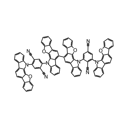 N#Cc1cc(-n2c3ccccc3c3ccc4c5ccccc5oc4c32)c(C#N)c(-n2c3ccccc3c3cc(-c4cc5c6ccccc6oc5c5c4c4ccccc4n5-c4cc(C#N)c(-n5c6ccccc6c6ccc7c8ccccc8oc7c65)cc4C#N)c4c5ccccc5oc4c32)c1